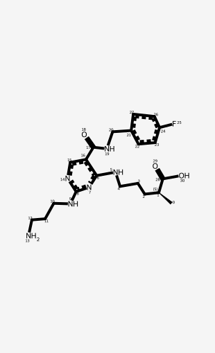 C[C@@H](CCCNc1nc(NCCCN)ncc1C(=O)NCc1ccc(F)cc1)C(=O)O